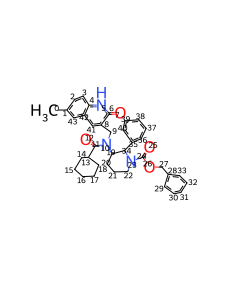 Cc1ccc2[nH]c(=O)c(CN(C(=O)C3CCCCC3)C3CCCN(C(=O)OCc4ccccc4)C3c3ccccc3)cc2c1